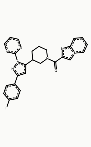 O=C(c1cn2ccccc2n1)N1CCCC(c2cc(-c3ccc(F)cc3)nn2-c2ncccn2)C1